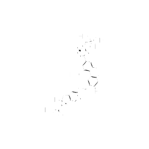 Cc1cc(-c2nnn(CC(C)(C)O)n2)cc(C)c1-c1cc(COc2cc3c(cn2)[C@H]2[C@@H](C3)[C@@H]2C(=O)O)c(F)cc1F